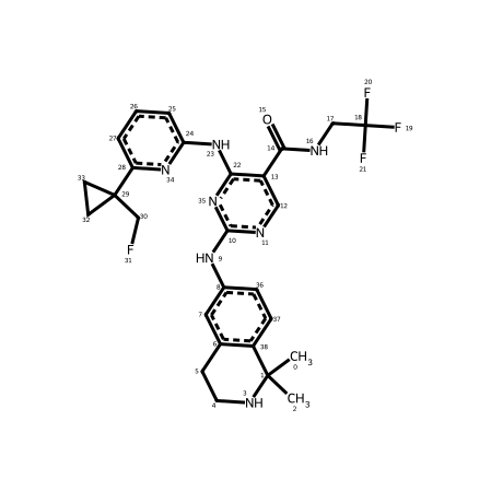 CC1(C)NCCc2cc(Nc3ncc(C(=O)NCC(F)(F)F)c(Nc4cccc(C5(CF)CC5)n4)n3)ccc21